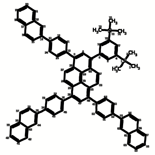 C[Si](C)(C)c1cc(-c2cc(-c3ccc(-c4ccc5ccccc5c4)cc3)c3ccc4c(-c5ccc(-c6ccc7ccccc7c6)cc5)cc(-c5ccc(-c6ccc7ccccc7c6)cc5)c5ccc2c3c45)cc([Si](C)(C)C)c1